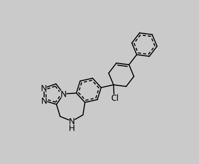 ClC1(c2ccc3c(c2)CNCc2nncn2-3)CC=C(c2ccccc2)CC1